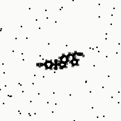 Cc1ccc(S(=O)(=O)n2ncc3cc(C[C@@H](CN)N4CCCC4)ccc32)cc1